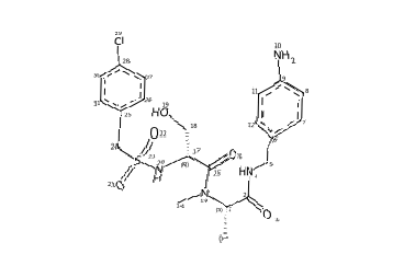 C[C@@H](C(=O)NCc1ccc(N)cc1)N(C)C(=O)[C@@H](CO)NS(=O)(=O)Cc1ccc(Cl)cc1